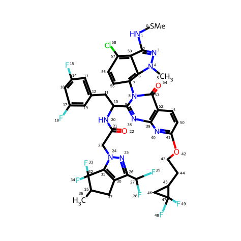 CSNc1nn(C)c2c(-n3c(C(Cc4cc(F)cc(F)c4)NC(=O)Cn4nc(C(F)F)c5c4C(F)(F)C(C)C5)nc4nc(OCCC5CC5(F)F)ccc4c3=O)ccc(Cl)c12